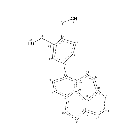 OCc1ccc(-c2ccc3ccc4cccc5ccc2c3c45)cc1CO